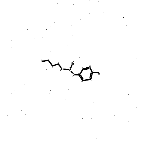 CCCCOP(Br)Oc1ccc(C)cc1